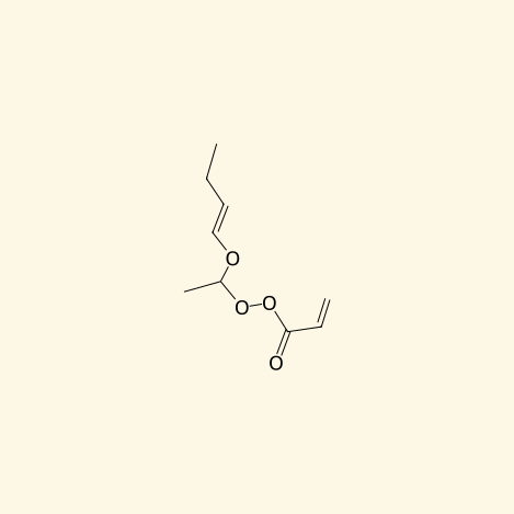 C=CC(=O)OOC(C)OC=CCC